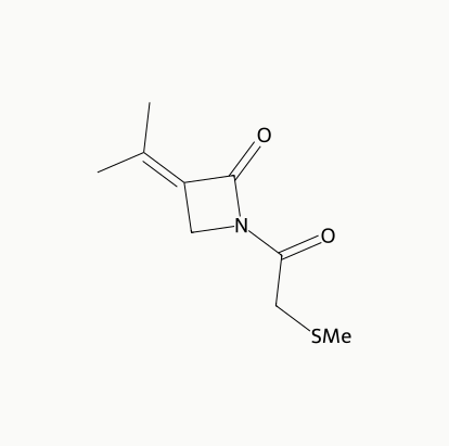 CSCC(=O)N1CC(=C(C)C)C1=O